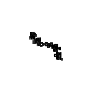 COC(=O)NCCC(=O)Pc1ncc(-c2ccc3c(c2)oc2cc(-c4ccc5nc(PC(=O)CCNC(=O)OC)[nH]c5c4)ccc23)[nH]1